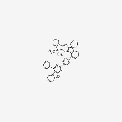 CC1(C)c2ccccc2-c2cc3c(cc21)C1=C(CCC=C1c1ccc(-c2nc4c(c(-c5ccccc5)n2)C2=CC=CCC2O4)cc1)C31CCCCC1